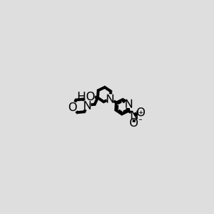 O=[N+]([O-])c1ccc(N2CCCC(O)(CN3CCOCC3)C2)cn1